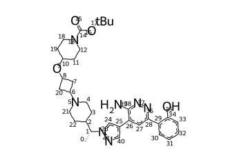 C[C@H](C1CCN(C2CC(OC3CCN(C(=O)OC(C)(C)C)CC3)C2)CC1)n1cc(-c2cc(-c3ccccc3O)nnc2N)cn1